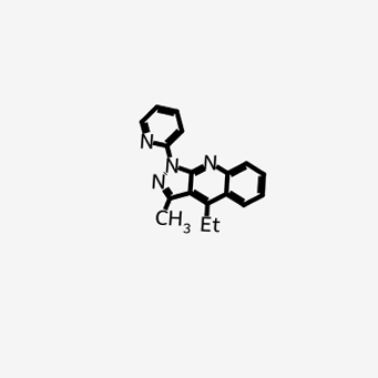 CCc1c2ccccc2nc2c1c(C)nn2-c1ccccn1